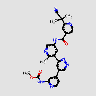 COC(=O)Nc1cc(-c2cnnc(-c3cc(NC(=O)c4ccnc(C(C)(C)C#N)c4)cnc3C)c2)ccn1